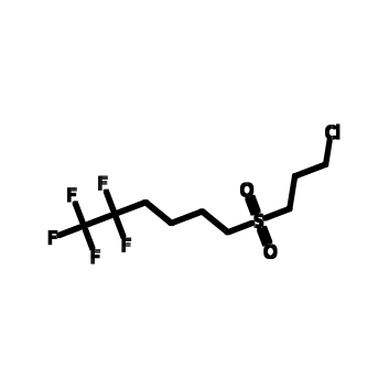 O=S(=O)(CCCCl)CCCCC(F)(F)C(F)(F)F